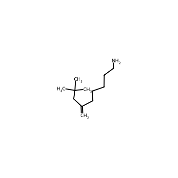 C=C(CCCCCN)CC(C)(C)C